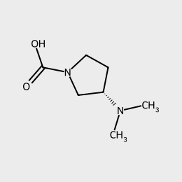 CN(C)[C@H]1CCN(C(=O)O)C1